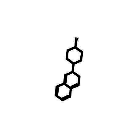 BrC1CCC(C2C=c3ccccc3=CC2)CC1